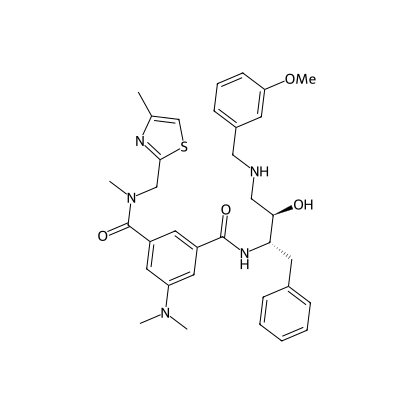 COc1cccc(CNC[C@@H](O)[C@H](Cc2ccccc2)NC(=O)c2cc(C(=O)N(C)Cc3nc(C)cs3)cc(N(C)C)c2)c1